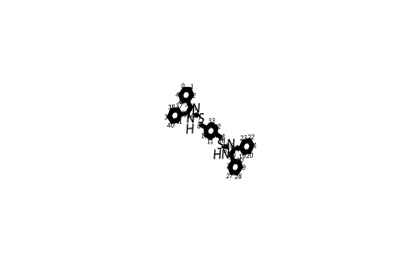 c1ccc(-c2nc(SCc3ccc(CSc4nc(-c5ccccc5)c(-c5ccccc5)[nH]4)cc3)[nH]c2-c2ccccc2)cc1